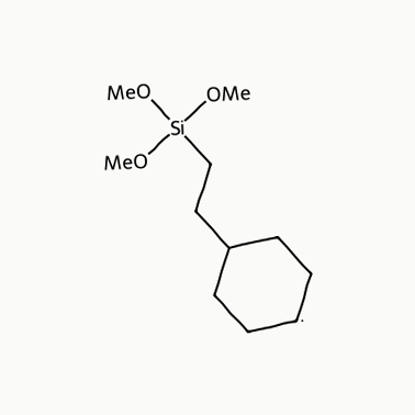 CO[Si](CCC1CC[CH]CC1)(OC)OC